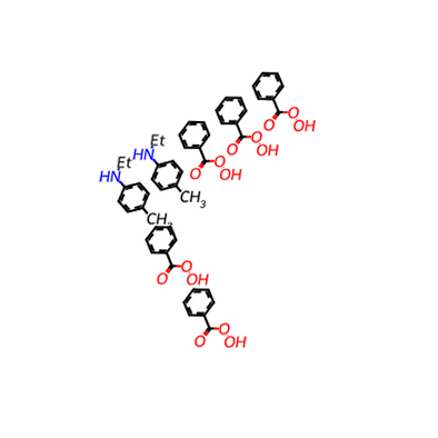 CCNc1ccc(C)cc1.CCNc1ccc(C)cc1.O=C(OO)c1ccccc1.O=C(OO)c1ccccc1.O=C(OO)c1ccccc1.O=C(OO)c1ccccc1.O=C(OO)c1ccccc1